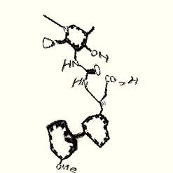 COc1cccc(-c2cccc([C@H](CC(=O)O)NC(=O)Nc3c(O)c(C)cn(C)c3=O)c2)c1